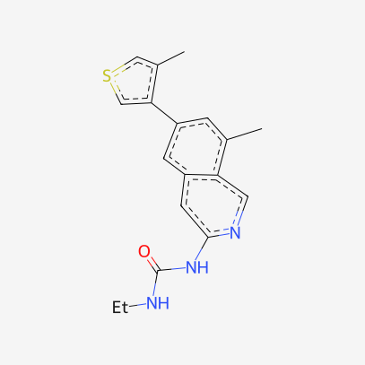 CCNC(=O)Nc1cc2cc(-c3cscc3C)cc(C)c2cn1